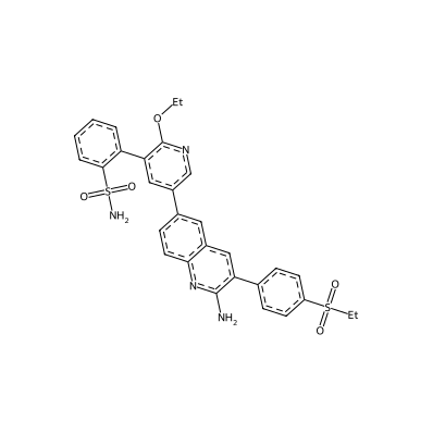 CCOc1ncc(-c2ccc3nc(N)c(-c4ccc(S(=O)(=O)CC)cc4)cc3c2)cc1-c1ccccc1S(N)(=O)=O